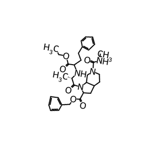 CCOC(=O)C(CCc1ccccc1)N[C@@H](C)C(=O)N1C(C(=O)OCc2ccccc2)CC2CCN(C(=O)NC)CC21